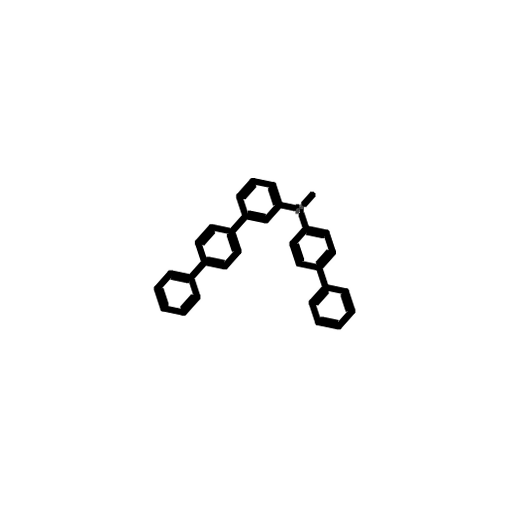 CN(c1ccc(-c2ccccc2)cc1)c1cccc(-c2ccc(-c3ccccc3)cc2)c1